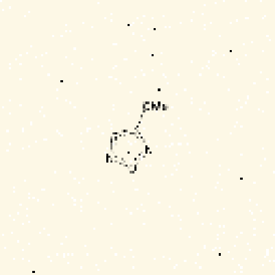 COc1cnon1